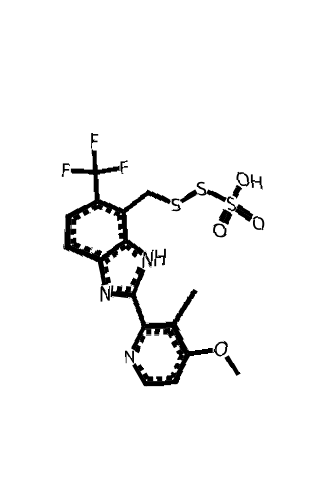 COc1ccnc(-c2nc3ccc(C(F)(F)F)c(CSSS(=O)(=O)O)c3[nH]2)c1C